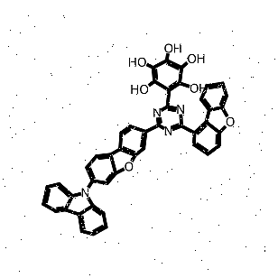 Oc1c(O)c(O)c(-c2nc(-c3ccc4c(c3)oc3cc(-n5c6ccccc6c6ccccc65)ccc34)nc(-c3cccc4oc5ccccc5c34)n2)c(O)c1O